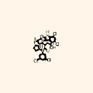 O=C(O)C1[C@@H](C(=O)N(c2cc(Cl)cc(Cl)c2)C2CCCC2)[C@H]2CC(F)(F)CN2[C@]12C(=O)Nc1c(Cl)cc(Cl)cc12